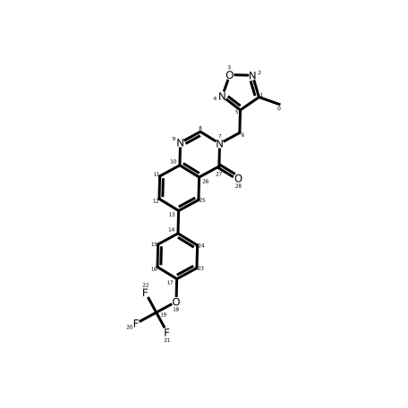 Cc1nonc1Cn1cnc2ccc(-c3ccc(OC(F)(F)F)cc3)cc2c1=O